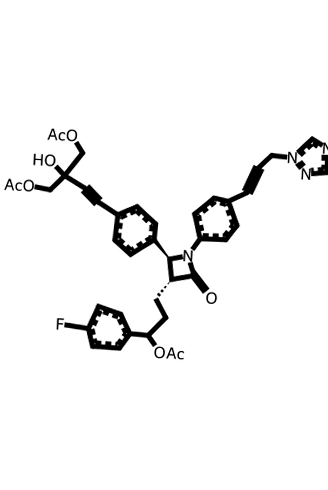 CC(=O)OCC(O)(C#Cc1ccc([C@@H]2[C@@H](CCC(OC(C)=O)c3ccc(F)cc3)C(=O)N2c2ccc(C#CCn3cncn3)cc2)cc1)COC(C)=O